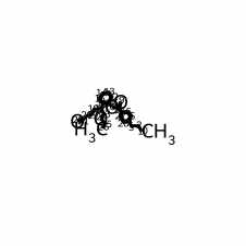 CCCCc1ccc(C(=O)Oc2ccccc2C(CCCC=O)COCC)cc1